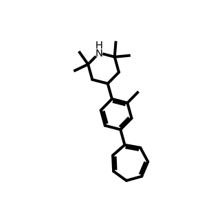 Cc1cc(C2=CC=CCC=C2)ccc1C1CC(C)(C)NC(C)(C)C1